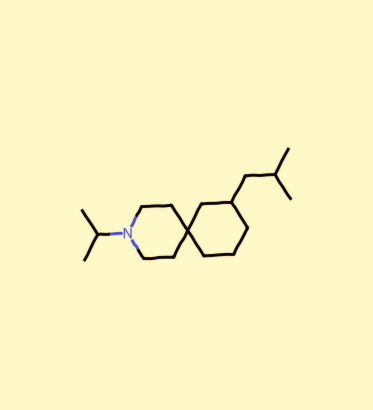 CC(C)CC1CCCC2(CCN(C(C)C)CC2)C1